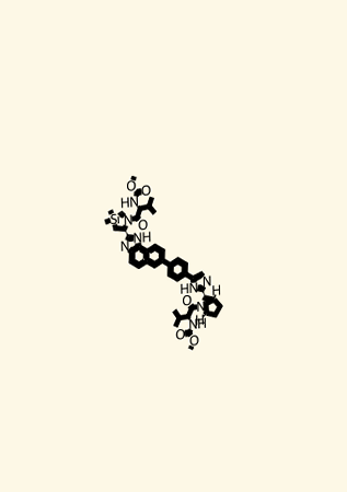 COC(=O)N[C@H](C(=O)N1C[Si](C)(C)C[C@H]1c1nc2ccc3cc(-c4ccc(-c5cnc([C@@H]6[C@H]7CC[C@H](C7)N6C(=O)[C@@H](NC(=O)OC)C(C)C)[nH]5)cc4)ccc3c2[nH]1)C(C)C